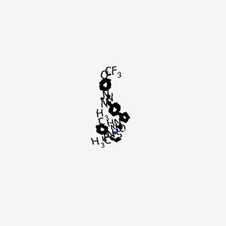 Cc1ccc(C(C)C)c(N2/C(=N/C(=O)NC3=C(c4ccc(-c5ncn(-c6ccc(OC(F)(F)F)cc6)n5)cc4)CCC3)SCCC2C)c1